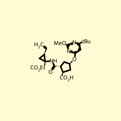 C=C[C@@H]1C[C@]1(NC(=O)[C@@H]1C[C@@H](Oc2cc(C(C)(C)C)nc(OC)n2)C[C@H]1C(=O)O)C(=O)OCC